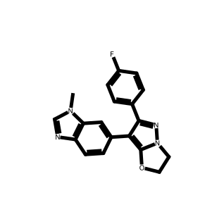 Cn1cnc2ccc(-c3c(-c4ccc(F)cc4)nn4c3OCC4)cc21